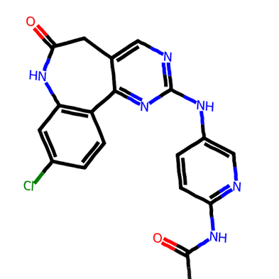 CC(C)(C)C(=O)Nc1ccc(Nc2ncc3c(n2)-c2ccc(Cl)cc2NC(=O)C3)cn1